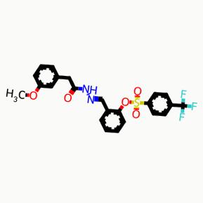 COc1cccc(CC(=O)NN=Cc2ccccc2OS(=O)(=O)c2ccc(C(F)(F)F)cc2)c1